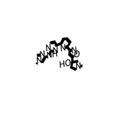 CN1CC[C@@](O)(c2cc(-c3cccc(-c4ccnc(Nc5cn(C)cn5)n4)n3)no2)C1